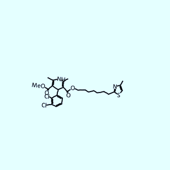 COC(=O)C1=C(C)NC(C)=C(C(=O)OCCCCCCCc2nc(C)cs2)C1c1cccc(Cl)c1Cl